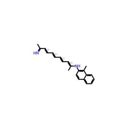 CC(=N)/C=C/C=C/C=C/C=C(\C)Nc1ccc2ccccc2c1C